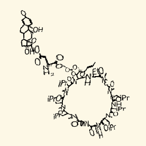 CC=CC[C@@H](C)C(OC(=O)OCOC(=O)[C@@H](N)CC(=O)OCC(=O)[C@@]1(O)CCC2C3CCC4=CC(=O)C=C[C@]4(C)C3[C@@H](O)C[C@@]21C)C1C(=O)NC(CC)C(=O)N(C)CC(=O)N(C)[C@@H](CC(C)C)C(=O)NC(C(C)C)C(=O)N(C)C(CC(C)C)C(=O)NC(C)C(=O)NC(C)C(=O)N(C)C(CC(C)C)C(=O)N(C)C(CC(C)C)C(=O)N(C)C(C(C)C)C(=O)N1C